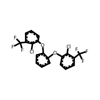 FC(F)(F)c1cccc(Oc2ccccc2Oc2cccc(C(F)(F)F)c2Cl)c1Cl